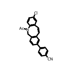 CC(=O)N1Cc2ccc(-c3ccc(C#N)cc3)cc2C=Cc2cc(Cl)ccc21